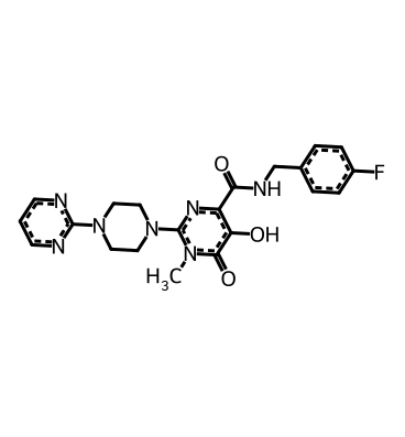 Cn1c(N2CCN(c3ncccn3)CC2)nc(C(=O)NCc2ccc(F)cc2)c(O)c1=O